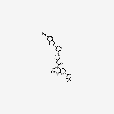 CN(c1nc(C(=O)OC(C)(C)C)ccc1NC(=O)C=C1CCN(c2cccc(OCc3ccc(C#N)cc3F)n2)CC1)[C@@H]1CCO1